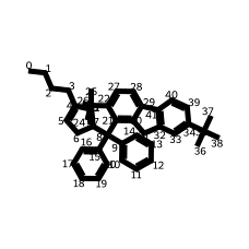 CCCCC1=CCC(C(c2ccccc2)(c2ccccc2)c2c(C(C)(C)C)ccc3c2Cc2cc(C(C)(C)C)ccc2-3)=C1